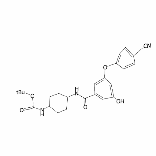 CC(C)(C)OC(=O)NC1CCC(NC(=O)c2cc(O)cc(Oc3ccc(C#N)cc3)c2)CC1